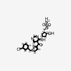 NS(=O)(=O)OC[C@H]1C[C@@H](Nc2ncncc2C(=O)c2ccn(Cc3cccc(Cl)c3)n2)C[C@@H]1O